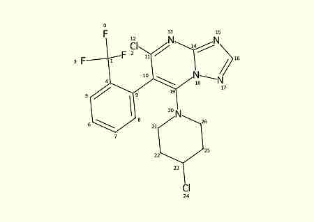 FC(F)(F)c1ccccc1-c1c(Cl)nc2ncnn2c1N1CCC(Cl)CC1